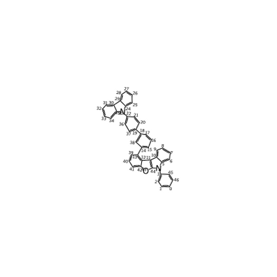 c1ccc(-n2c3ccccc3c3c4c(-c5cccc(-c6ccc(-n7c8ccccc8c8ccccc87)cc6)c5)cccc4oc32)cc1